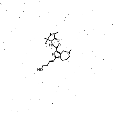 CNC(=O)[C@@H](NC(=O)c1nc(/C=C/CCO)n2c1CN(C)CCC2)C(C)(C)C